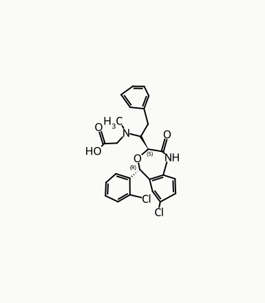 CN(CC(=O)O)C(Cc1ccccc1)[C@@H]1O[C@@H](c2ccccc2Cl)c2cc(Cl)ccc2NC1=O